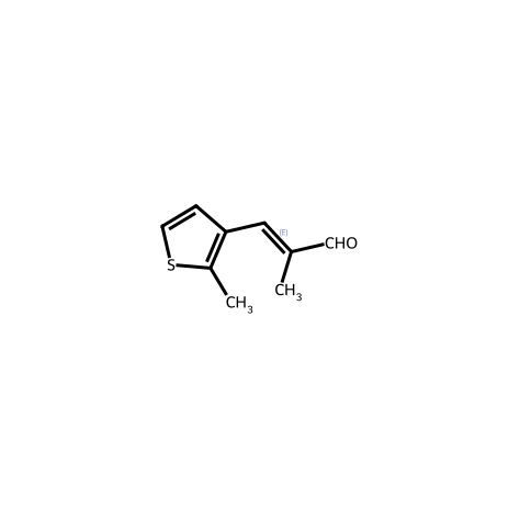 C/C(C=O)=C\c1ccsc1C